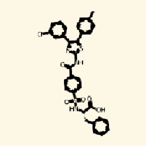 Cc1ccc(-c2sc(NC(=O)c3ccc(S(=O)(=O)N[C@@H](Cc4ccccc4)C(=O)O)cc3)nc2-c2cccc(Cl)c2)cc1